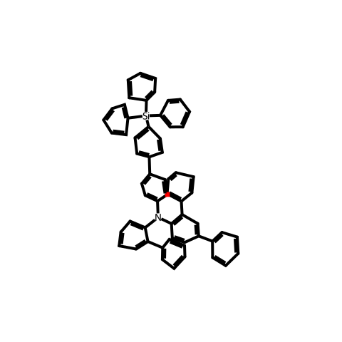 c1ccc(-c2ccc(N(c3ccc(-c4ccc([Si](c5ccccc5)(c5ccccc5)c5ccccc5)cc4)cc3)c3ccccc3-c3ccccc3)c(-c3ccccc3)c2)cc1